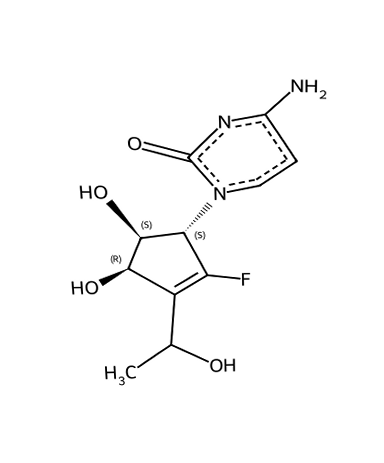 CC(O)C1=C(F)[C@@H](n2ccc(N)nc2=O)[C@H](O)[C@@H]1O